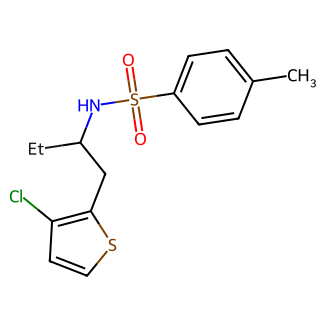 CCC(Cc1sccc1Cl)NS(=O)(=O)c1ccc(C)cc1